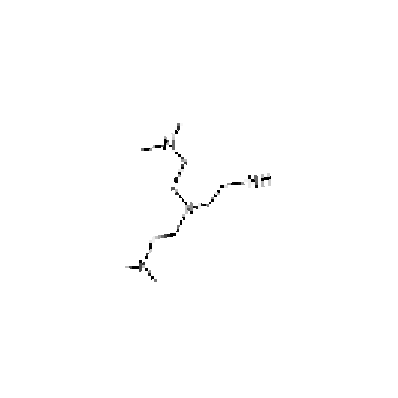 CN(C)CCN(CC[NH])CCN(C)C